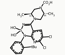 C[C@@H]1CN(C2=NS(O)(O)N(c3ccccc3C(C)(C)C)c3nc(Cl)c(Cl)cc32)[C@@H](C)CN1C(=O)O